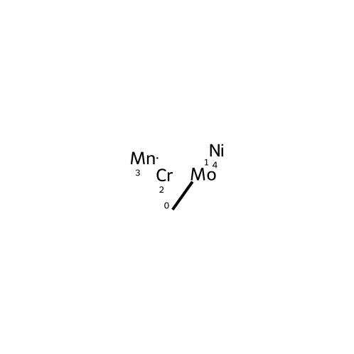 [CH3][Mo].[Cr].[Mn].[Ni]